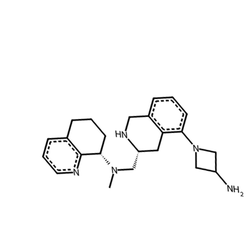 CN(C[C@H]1Cc2c(cccc2N2CC(N)C2)CN1)[C@H]1CCCc2cccnc21